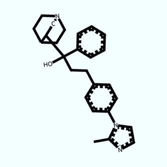 Cc1nccn1-c1ccc(CCC(O)(c2ccccc2)C2CN3CCC2CC3)cc1